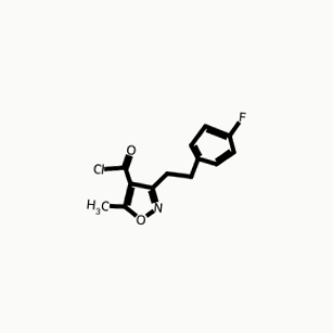 Cc1onc(CCc2ccc(F)cc2)c1C(=O)Cl